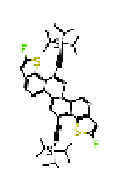 CC(C)[Si](C#Cc1cc2c(cc(C#C[Si](C(C)C)(C(C)C)C(C)C)c3c2ccc2cc(F)sc23)c2ccc3cc(F)sc3c12)(C(C)C)C(C)C